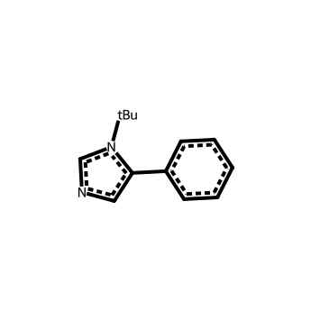 CC(C)(C)n1cncc1-c1ccccc1